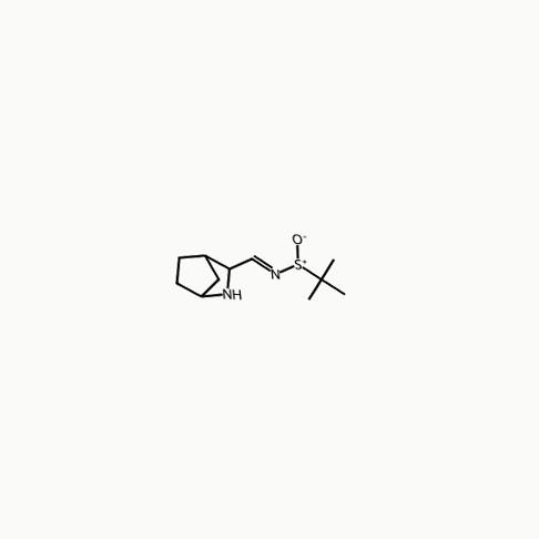 CC(C)(C)[S+]([O-])/N=C/C1NC2CCC1C2